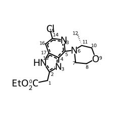 CCOC(=O)Cc1nc2c(N3CCOC[C@H]3C)nc(Cl)cc2[nH]1